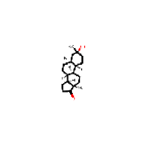 CC1(O)CC[C@H]2[C@@H](CC[C@@H]3[C@@H]2CC[C@]2(C)C(=O)CC[C@@H]32)C1